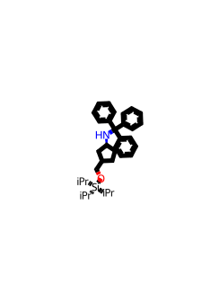 CC(C)[Si](OCC1CC[C@H](NC(c2ccccc2)(c2ccccc2)c2ccccc2)C1)(C(C)C)C(C)C